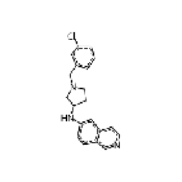 Clc1cccc(CN2CC[C@@H](Nc3ccc4cnccc4c3)C2)c1